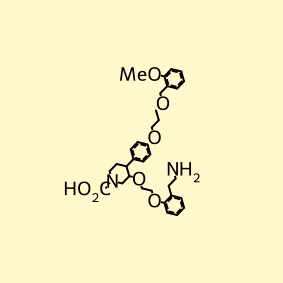 COc1ccccc1COCCCOc1ccc(C2CCN(C(=O)O)CC2OCCOc2ccccc2CCN)cc1